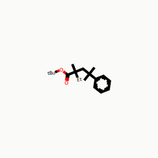 CCC(C)(CC(C)(C)c1ccccc1)C(=O)OC(C)(C)C